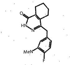 CNc1cc(Cc2n[nH]c(=O)c3c2CCCC3)ccc1F